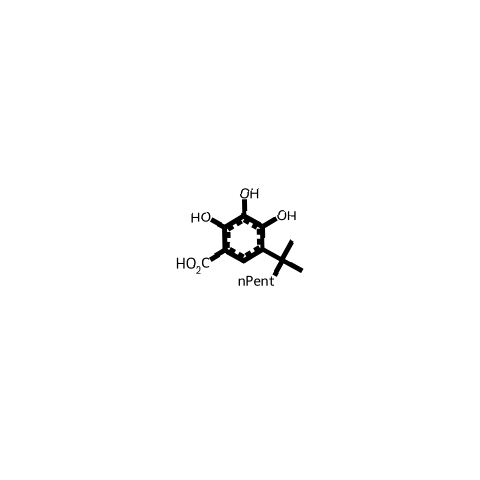 CCCCCC(C)(C)c1cc(C(=O)O)c(O)c(O)c1O